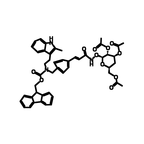 CC(=O)OC[C@@H]1C[C@H](OC(C)=O)[C@@H](OC(C)=O)[C@H](ONC(=O)/C=C/c2ccc(CN(CCc3c(C)[nH]c4ccccc34)C(=O)OCC3c4ccccc4-c4ccccc43)cc2)O1